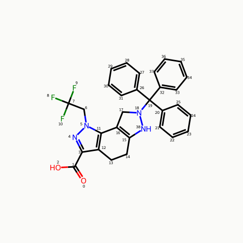 O=C(O)c1nn(CC(F)(F)F)c2c1CCC1=C2CN(C(c2ccccc2)(c2ccccc2)c2ccccc2)N1